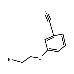 N#Cc1cccc(OCCBr)c1